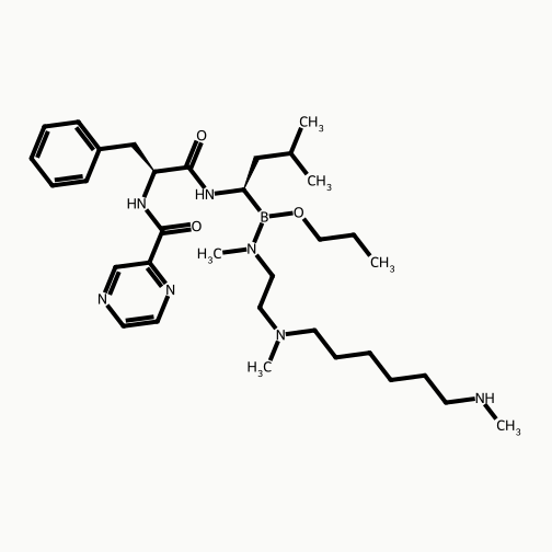 CCCOB([C@H](CC(C)C)NC(=O)[C@H](Cc1ccccc1)NC(=O)c1cnccn1)N(C)CCN(C)CCCCCCNC